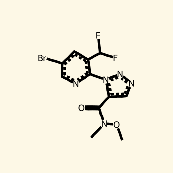 CON(C)C(=O)c1cnnn1-c1ncc(Br)cc1C(F)F